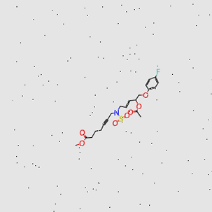 COC(=O)CCCC#CCN(C/C=C/C(COc1ccc(F)cc1)OC(C)=O)S(C)(=O)=O